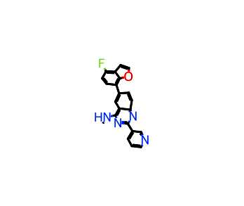 CNc1nc(-c2cccnc2)nc2ccc(-c3ccc(F)c4ccoc34)cc12